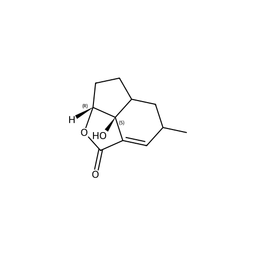 CC1C=C2C(=O)O[C@@H]3CCC(C1)[C@]23O